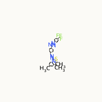 Cc1ccc(N2CS/C2=N\N=C\c2ccc(-c3ncn(-c4ccc(C(F)(F)F)cc4)n3)cc2)c(C(C)C)c1